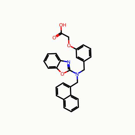 O=C(O)COc1cccc(CN(Cc2cccc3ccccc23)c2nc3ccccc3o2)c1